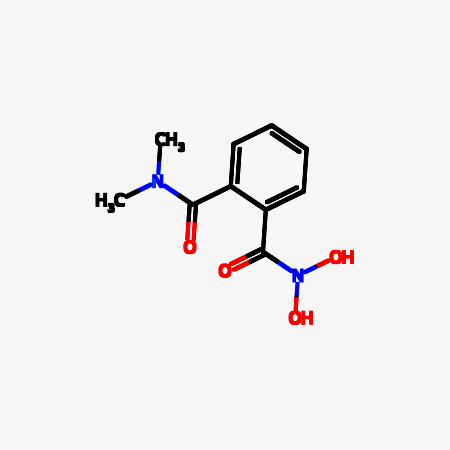 CN(C)C(=O)c1ccccc1C(=O)N(O)O